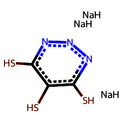 Sc1nnnc(S)c1S.[NaH].[NaH].[NaH]